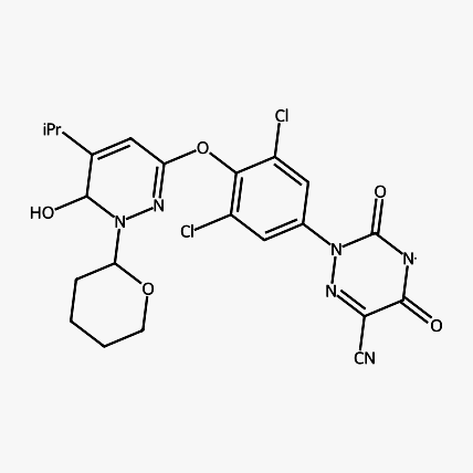 CC(C)C1=CC(Oc2c(Cl)cc(N3N=C(C#N)C(=O)[N]C3=O)cc2Cl)=NN(C2CCCCO2)C1O